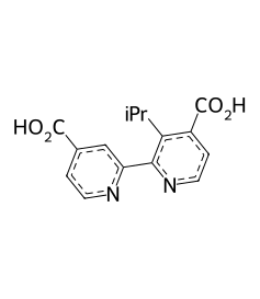 CC(C)c1c(C(=O)O)ccnc1-c1cc(C(=O)O)ccn1